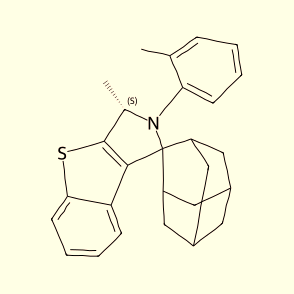 Cc1ccccc1N1[C@@H](C)c2sc3ccccc3c2C12C1CC3CC(C1)CC2C3